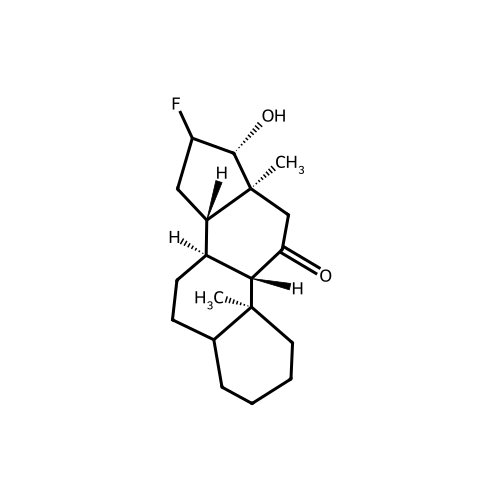 C[C@]12CC(=O)[C@H]3[C@@H](CCC4CCCC[C@@]43C)[C@@H]1CC(F)[C@@H]2O